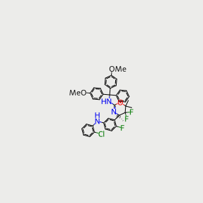 COc1ccc(C(NC2=N[C@](C)(c3cc(Nc4ccccc4Cl)ccc3F)C(F)(F)C(C)(C)O2)(c2ccccc2)c2ccc(OC)cc2)cc1